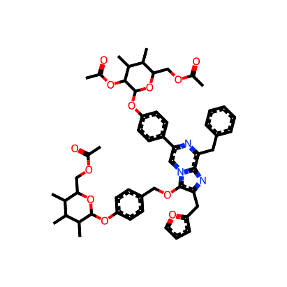 CC(=O)OCC1OC(Oc2ccc(COc3c(Cc4ccco4)nc4c(Cc5ccccc5)nc(-c5ccc(OC6OC(COC(C)=O)C(C)C(C)C6OC(C)=O)cc5)cn34)cc2)C(C)C(C)C1C